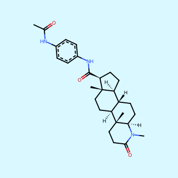 CC(=O)Nc1ccc(NC(=O)[C@H]2CC[C@H]3[C@@H]4CC[C@H]5N(C)C(=O)CC[C@]5(C)[C@H]4CC[C@]23C)cc1